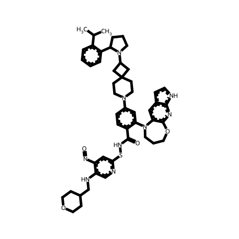 CC(C)c1ccccc1C1CCCN1C1CC2(CCN(c3ccc(C(=O)NSc4cc(N=O)c(NCC5CCOCC5)cn4)c(N4CCCOc5nc6[nH]ccc6cc54)c3)CC2)C1